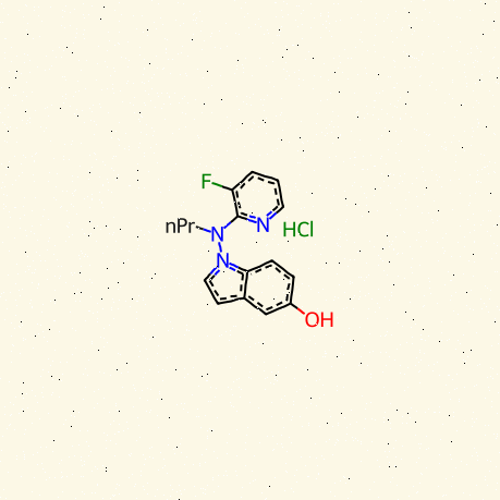 CCCN(c1ncccc1F)n1ccc2cc(O)ccc21.Cl